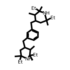 CCC1(C)CC(Cc2cccc(CC3CC(C)(CC)NC(C)(CC)C3C)c2)C(C)C(C)(CC)N1